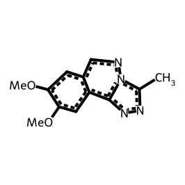 COc1cc2cnn3c(C)nnc3c2cc1OC